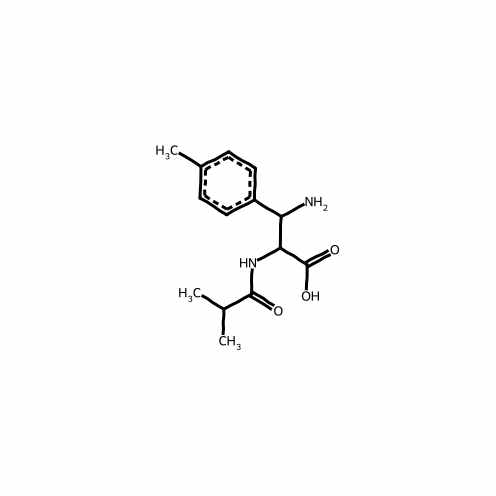 Cc1ccc(C(N)C(NC(=O)C(C)C)C(=O)O)cc1